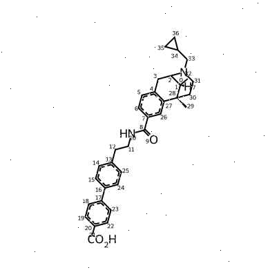 C[C@H]1C2Cc3ccc(C(=O)NCCc4ccc(-c5ccc(C(=O)O)cc5)cc4)cc3[C@@]1(C)CCN2CC1CC1